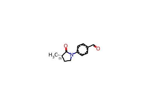 C[C@H]1CCN(c2ccc(C=O)cc2)C1=O